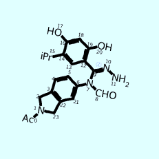 CC(=O)N1Cc2ccc(N(C=O)/C(=N\N)c3cc(C(C)C)c(O)cc3O)cc2C1